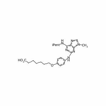 CCCC(C)Nc1nc(Nc2ccc(OCCCCCCC(=O)O)cc2)nc2c1ncn2C